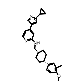 COc1ccc([C@H]2CC[C@H](CNc3cc(-c4cnn(C5CC5)c4)ccn3)CC2)cc1C